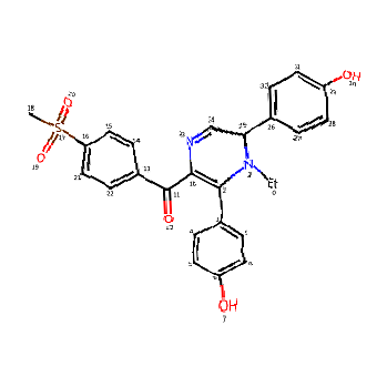 CCN1C(c2ccc(O)cc2)=C(C(=O)c2ccc(S(C)(=O)=O)cc2)N=CC1c1ccc(O)cc1